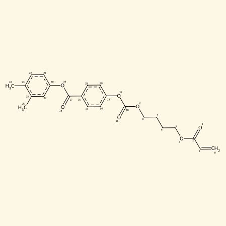 C=CC(=O)OCCCCOC(=O)Oc1ccc(C(=O)Oc2ccc(C)c(C)c2)cc1